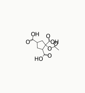 CC(=O)OC1(C(=O)O)CC(C(=O)O)CC1C(=O)O